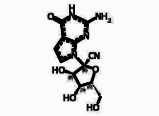 N#C[C@@]1(n2ccc3c(=O)[nH]c(N)nc32)O[C@H](CO)[C@@H](O)[C@H]1O